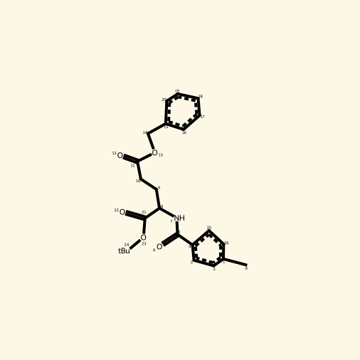 Cc1ccc(C(=O)NC(CCC(=O)OCc2ccccc2)C(=O)OC(C)(C)C)cc1